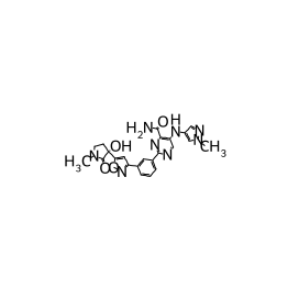 CN1CC[C@@](O)(c2cc(-c3cccc(-c4ncc(Nc5cnn(C)c5)c(C(N)=O)n4)c3)no2)C1=O